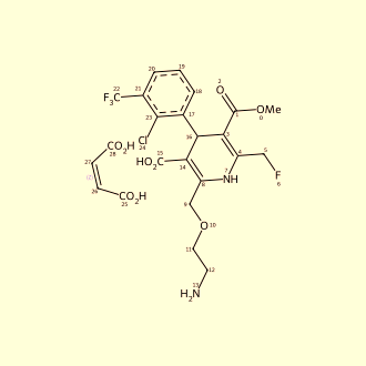 COC(=O)C1=C(CF)NC(COCCN)=C(C(=O)O)C1c1cccc(C(F)(F)F)c1Cl.O=C(O)/C=C\C(=O)O